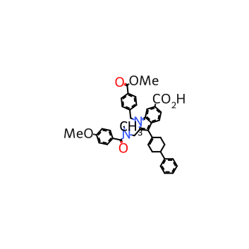 COC(=O)c1ccc(Cn2c(CN(C)C(=O)c3ccc(OC)cc3)c(C3=CCC(c4ccccc4)CC3)c3ccc(C(=O)O)cc32)cc1